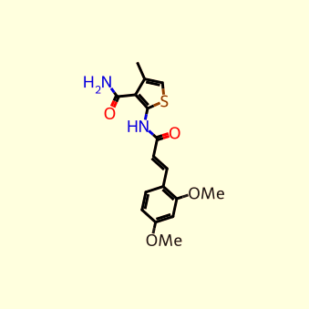 COc1ccc(/C=C/C(=O)Nc2scc(C)c2C(N)=O)c(OC)c1